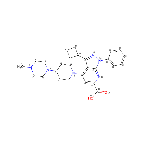 CN1CCN(C2CCN(c3cc(C(=O)O)nc4c3c(C3CCC3)nn4-c3ccccc3)CC2)CC1